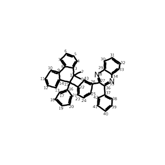 CC1(C)c2ccccc2-c2ccccc2C1(c1ccccc1)c1cccc(-c2nc3ccccc3nc2-c2ccccc2)c1